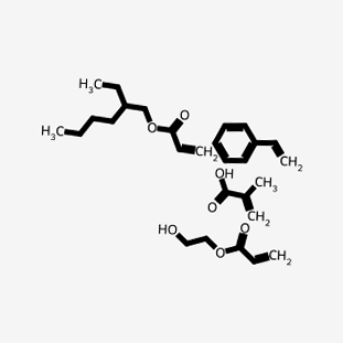 C=C(C)C(=O)O.C=CC(=O)OCC(CC)CCCC.C=CC(=O)OCCO.C=Cc1ccccc1